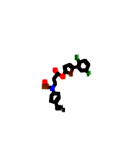 Cc1ccc(N(CCC(=O)Oc2ccc(-c3cc(F)ccc3F)s2)[SH]=O)cc1